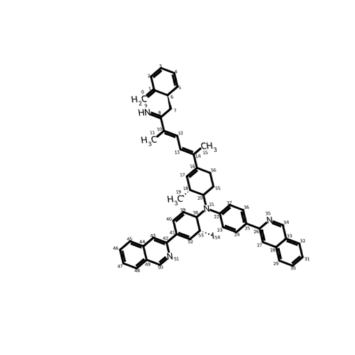 C=C1C=CC=C[C@H]1CC(=N)/C(C)=C/C=C(\C)C1=C[C@@H](C)C(N(c2ccc(-c3cc4ccccc4cn3)cc2)C2C=CC(c3cc4ccccc4cn3)=C[C@H]2I)CC1